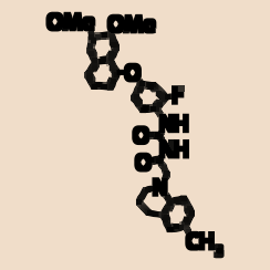 COc1cc2cccc(Oc3ccc(NC(=O)NC(=O)CN4CCCc5cc(C)ccc54)c(F)c3)c2cc1OC